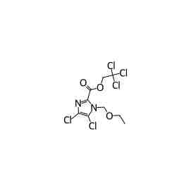 CCOCn1c(C(=O)OCC(Cl)(Cl)Cl)nc(Cl)c1Cl